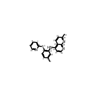 Cc1ccc(Sc2ccccn2)c(Nc2ccnc3nc(C)ccc23)c1